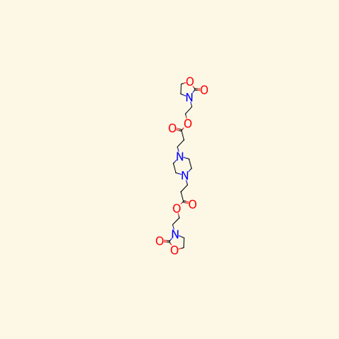 O=C(CCN1CCN(CCC(=O)OCCN2CCOC2=O)CC1)OCCN1CCOC1=O